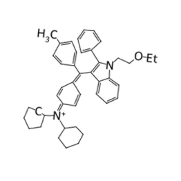 CCOCCn1c(-c2ccccc2)c(C(=C2C=CC(=[N+](C3CCCCC3)C3CCCCC3)C=C2)c2ccc(C)cc2)c2ccccc21